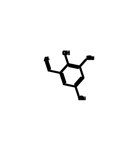 CC(C)(C)c1cc([CH]=[Al])c(O)c(C(C)(C)C)c1